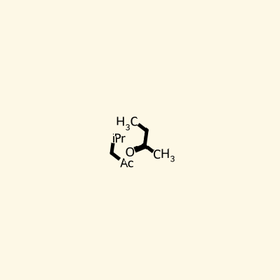 CC(=O)CC(C)C.CCC(C)=O